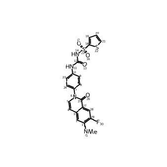 CNc1cc2ccn(-c3ccc(NC(=O)NS(=O)(=O)c4cccs4)cc3)c(=O)c2cc1F